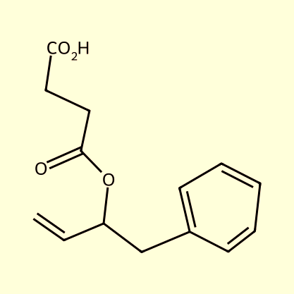 C=CC(Cc1ccccc1)OC(=O)CCC(=O)O